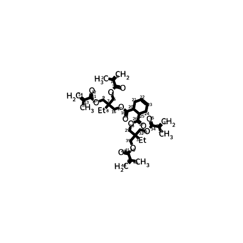 C=C(C)C(=O)OCC(CC)(COC(=O)C(=C)C)COC(=O)C1CC=CCC1C(=O)OCC(CC)(COC(=O)C(=C)C)COC(=O)C(=C)C